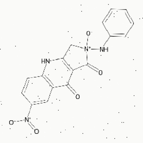 O=C1c2c([nH]c3ccc([N+](=O)[O-])cc3c2=O)C[N+]1([O-])Nc1ccccc1